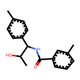 Cc1ccc(C(NC(=O)c2cccc(C)c2)C(C)O)cc1